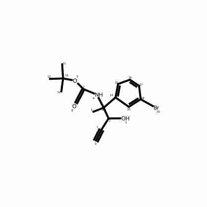 C#CC(O)C(C)(NC(=O)OC(C)(C)C)c1cccc(Br)c1